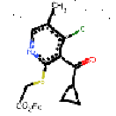 CCOC(=O)CSc1ncc(C)c(Cl)c1C(=O)C1CC1